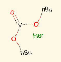 Br.CCCC[O][V](=[O])[O]CCCC